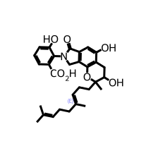 CC(C)=CCC/C(C)=C/CCC1(C)Oc2c(c(O)cc3c2CN(c2c(O)cccc2C(=O)O)C3=O)CC1O